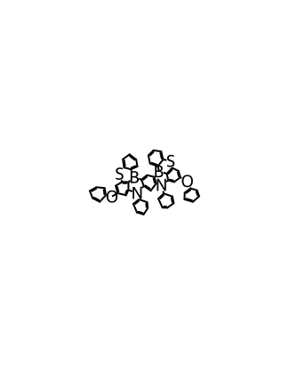 c1ccc(Oc2cc3c4c(c2)N(c2ccccc2)c2cc5c(cc2B4c2ccccc2S3)B2c3ccccc3Sc3cc(Oc4ccccc4)cc(c32)N5c2ccccc2)cc1